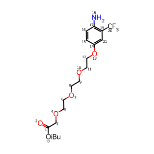 CC(C)COC(=O)COCCOCCOCCOc1ccc(N)c(C(F)(F)F)c1